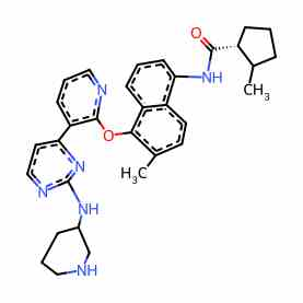 Cc1ccc2c(NC(=O)[C@@H]3CCCC3C)cccc2c1Oc1ncccc1-c1ccnc(NC2CCCNC2)n1